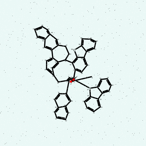 CC1C/C=C2/C(=C(c3ccc4ccccc4c3)\N=C/1n1c3ccccc3c3ccccc31)Cc1ccc3c(c1)C(CCc1cc4ccccc4cc1-3)c1c2ccc2c1oc1ccccc12